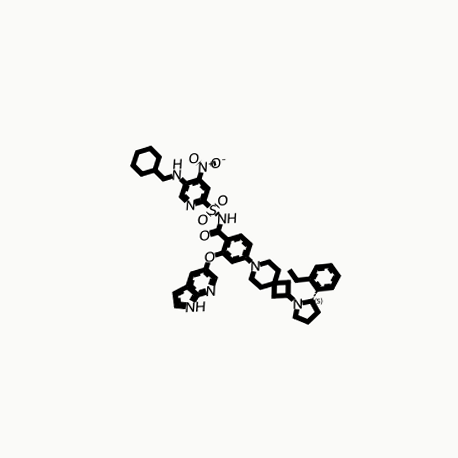 CCc1ccccc1[C@@H]1CCCN1C1CC2(CCN(c3ccc(C(=O)NS(=O)(=O)c4cc([N+](=O)[O-])c(NCC5CCCCC5)cn4)c(Oc4cnc5[nH]ccc5c4)c3)CC2)C1